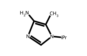 Cc1c(N)ncn1C(C)C